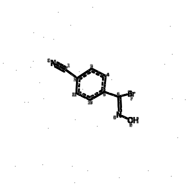 N#Cc1ccc(C(Br)=NO)cc1